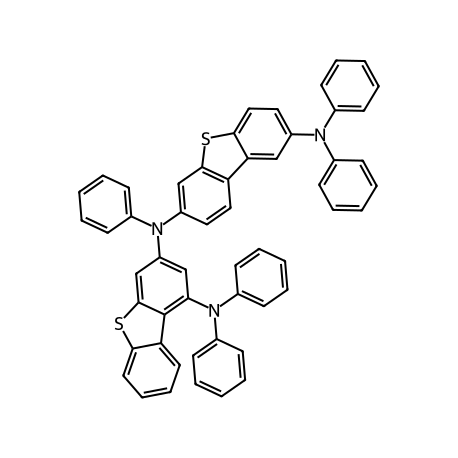 c1ccc(N(c2ccc3c(c2)sc2ccc(N(c4ccccc4)c4ccccc4)cc23)c2cc(N(c3ccccc3)c3ccccc3)c3c(c2)sc2ccccc23)cc1